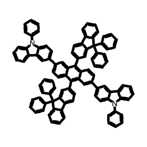 c1ccc(-n2c3ccccc3c3cc(-c4ccc5c(-c6ccc7c(c6)C(c6ccccc6)(c6ccccc6)c6ccccc6-7)c6cc(-c7ccc8c(c7)c7ccccc7n8-c7ccccc7)ccc6c(-c6ccc7c(c6)C(c6ccccc6)(c6ccccc6)c6ccccc6-7)c5c4)ccc32)cc1